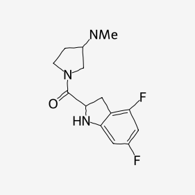 CNC1CCN(C(=O)C2Cc3c(F)cc(F)cc3N2)C1